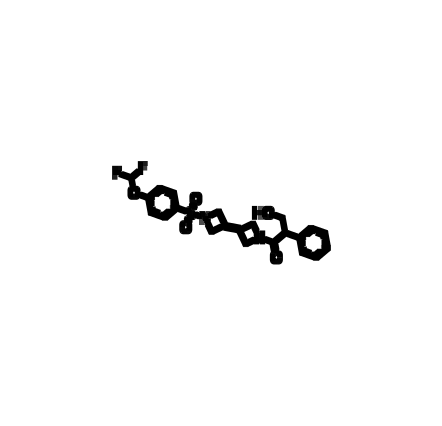 O=C(C(CO)c1ccccc1)N1CC(=C2CN(S(=O)(=O)c3ccc(OC(F)F)cc3)C2)C1